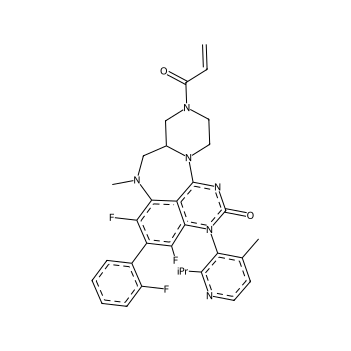 C=CC(=O)N1CCN2c3nc(=O)n(-c4c(C)ccnc4C(C)C)c4c(F)c(-c5ccccc5F)c(F)c(c34)N(C)CC2C1